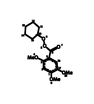 COc1cc(OC)c(C(=O)OO[C]2CCCCC2)cc1OC